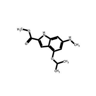 CNc1cc(OC(C)C)c2cc(C(=O)OC)[nH]c2c1